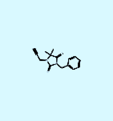 C#CCN1C(=O)N(Cc2ccccc2)C(=O)C1(C)C